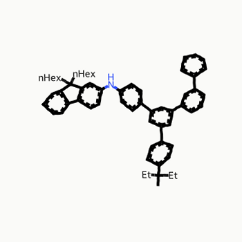 CCCCCCC1(CCCCCC)c2ccccc2-c2ccc(Nc3ccc(-c4cc(-c5ccc(C(C)(CC)CC)cc5)cc(-c5cccc(-c6ccccc6)c5)c4)cc3)cc21